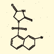 O=C1CN(S(=O)(=O)c2cccc3ccc(Br)cc23)C(=S)N1